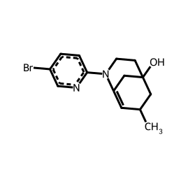 CC1C=C2CC(O)(CCN2c2ccc(Br)cn2)C1